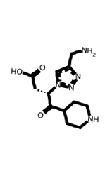 NCc1cn([C@@H](CC(=O)O)C(=O)C2CCNCC2)nn1